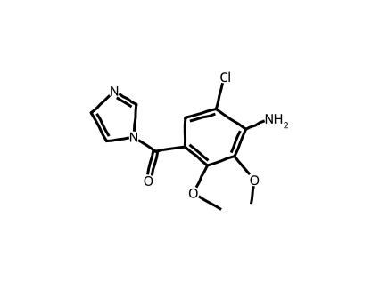 COc1c(C(=O)n2ccnc2)cc(Cl)c(N)c1OC